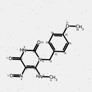 CNc1c(N=O)c(=O)[nH]c(=O)n1Cc1ccc(OC)cc1